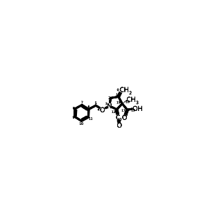 C=C1CN(OCc2ccccc2)C(=C=O)[C@]1(C)C(=O)O